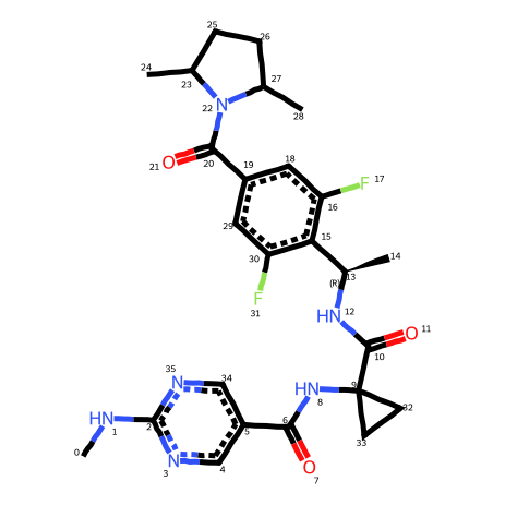 CNc1ncc(C(=O)NC2(C(=O)N[C@H](C)c3c(F)cc(C(=O)N4C(C)CCC4C)cc3F)CC2)cn1